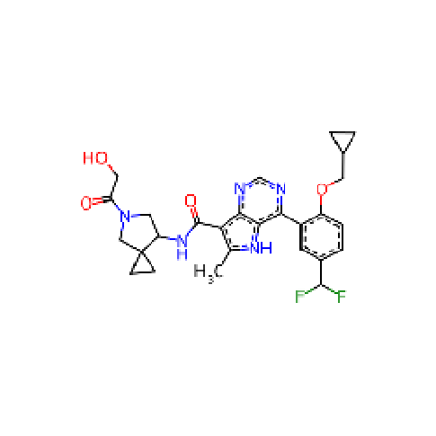 Cc1[nH]c2c(-c3cc(C(F)F)ccc3OCC3CC3)ncnc2c1C(=O)NC1CN(C(=O)CO)CC12CC2